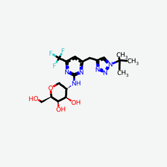 CC(C)(C)n1cc(Cc2cc(C(F)(F)F)nc(N[C@H]3CO[C@H](CO)[C@H](O)[C@@H]3O)n2)nn1